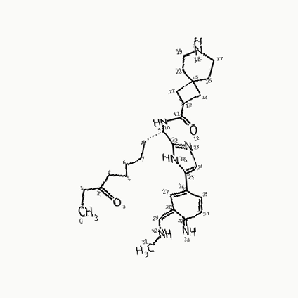 CCC(=O)CCCCC[C@H](NC(=O)C1CC2(CCNCC2)C1)c1ncc(C2=C/C(=C/NC)C(=N)C=C2)[nH]1